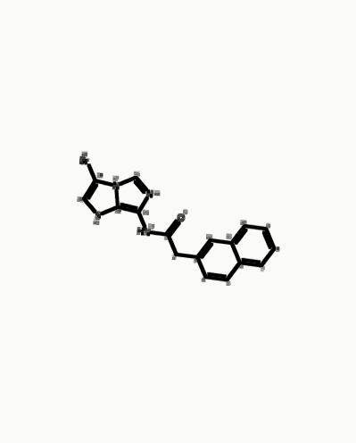 O=C(Cc1ccc2ccccc2c1)Nc1ncn2c(Br)csc12